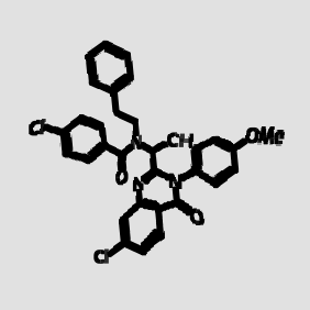 COc1ccc(-n2c(C(C)N(CCc3ccccc3)C(=O)c3ccc(Cl)cc3)nc3cc(Cl)ccc3c2=O)cc1